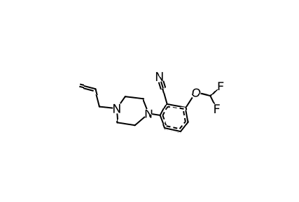 C=CCN1CCN(c2cccc(OC(F)F)c2C#N)CC1